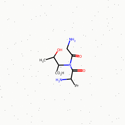 CC(C)C(N)C(=O)N(C(=O)CN)C(C(=O)O)C(C)O